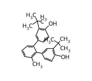 Cc1cccc(-c2ccc(O)c(C(C)(C)C)c2)c1-c1ccc(O)c(C(C)(C)C)c1